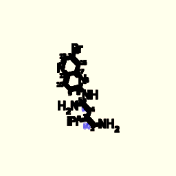 CC(C)C(=C/N)/C=C(\N)Nc1ccc2ncc(Br)cc2n1